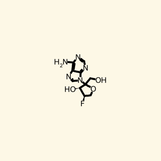 Nc1ncnc2c1ncn2C1(CO)OC[C@@H](F)[C@@H]1O